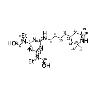 CCN(CO)c1nc(NCCCCC2CC(C)(C)NC(C)(C)C2)nc(N(CC)CO)n1